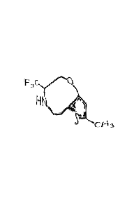 Cc1cc2c(s1)CNC(C(F)(F)F)CO2